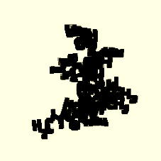 C=CCNC(=O)C(O)C(CCCC)NC(=O)[C@@H]1[C@@H]2[C@H](CN1C(=O)[C@@H](NC(=O)N[C@H](COC(=O)NCC)C(C)(C)C)C1Cc3ccccc3C1)C2(C)C